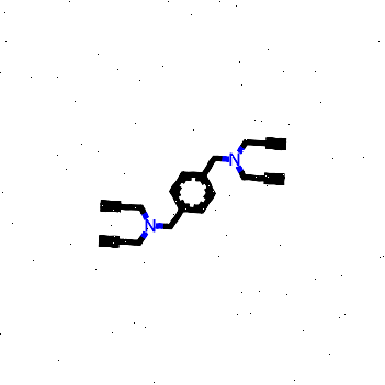 C#CCN(CC#C)Cc1ccc(CN(CC#C)CC#C)cc1